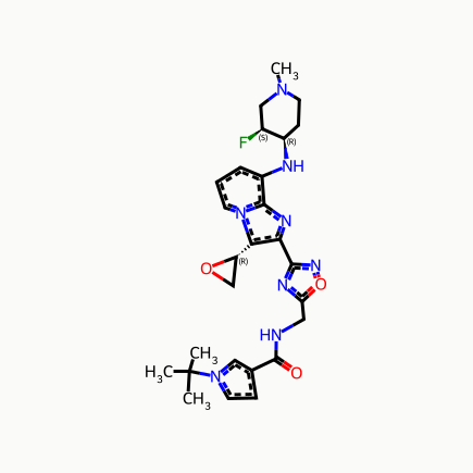 CN1CC[C@@H](Nc2cccn3c([C@@H]4CO4)c(-c4noc(CNC(=O)c5ccn(C(C)(C)C)c5)n4)nc23)[C@@H](F)C1